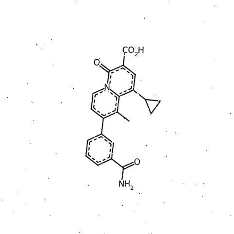 Cc1c(-c2cccc(C(N)=O)c2)ccn2c(=O)c(C(=O)O)cc(C3CC3)c12